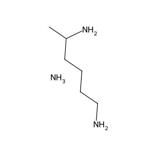 CC(N)CCCCN.N